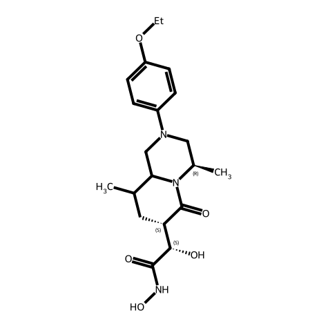 CCOc1ccc(N2CC3C(C)C[C@@H]([C@H](O)C(=O)NO)C(=O)N3[C@H](C)C2)cc1